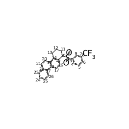 O=S(=O)(c1cccc(C(F)(F)F)c1)C1CCCc2c1ccc1c2ccc2ccccc21